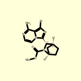 CC(C)(C)OC(=O)N1[C@@H]2CC[C@@H](C2)[C@H]1c1nc(Br)c2c(N)nccn12